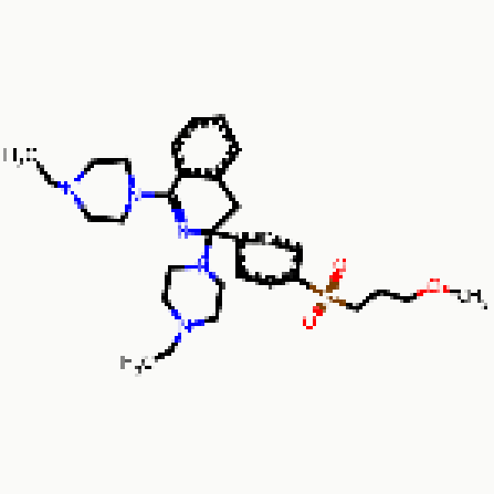 CCN1CCN(C2=NC(c3ccc(S(=O)(=O)CCCOC)cc3)(N3CCN(CC)CC3)Cc3ccccc32)CC1